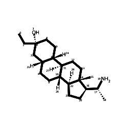 CC[C@@]1(O)CC[C@H]2[C@H](CC[C@@H]3[C@@H]2CC[C@]2(C)[C@@H]([C@@H](C)N)CC[C@@H]32)C1